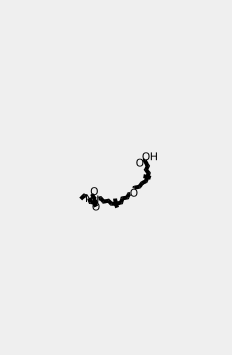 CCN1CC(=O)N(CCCCC(C)(C)CCCCOCCCCC(C)(C)CCCC(=O)O)C1=O